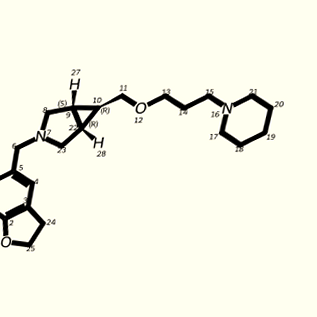 c1cc2c(cc1CN1C[C@@H]3[C@@H](COCCCN4CCCCC4)[C@@H]3C1)CCO2